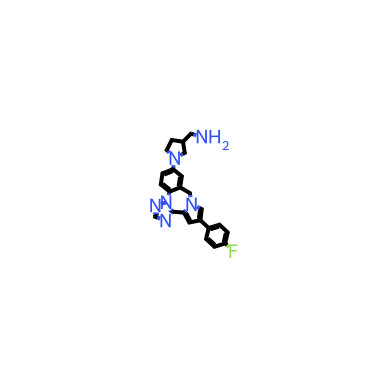 NCC1CCN(c2ccc3c(c2)Cn2cc(-c4ccc(F)cc4)cc2-c2ncnn2-3)C1